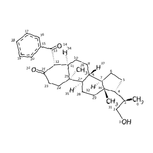 C[C@@H](CO)[C@H]1CC[C@@H]2[C@H]3CC[C@@H]4[C@@H](C(=O)c5ccccc5)C(=O)CC[C@]4(C)[C@@H]3CC[C@]21C